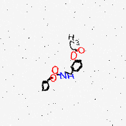 CC(=O)Oc1cccc(CCNC(=O)OCc2ccccc2)c1